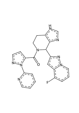 O=C(c1ccnn1-c1ccccn1)N1CCc2[nH]cnc2C1c1cc2c(F)cccn2n1